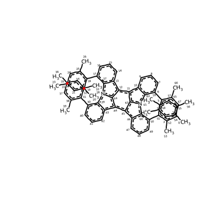 Cc1cc(C)c(-c2cccc3c4c5c6cccc(-c7c(C)cc(C)cc7C)c6n6c7c(-c8c(C)cc(C)cc8C)cccc7c(c7c8cccc(-c9c(C)cc(C)cc9C)c8n(c23)c47)c56)c(C)c1